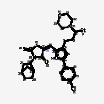 CCC(CCc1cc(-c2ccc(Cl)cc2)oc1/C=C1/SC(=S)N(C2CC3CCC2C3)C1=O)N1CCOCC1